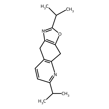 CC(C)c1ccc2c(n1)Cc1oc(C(C)C)nc1C2